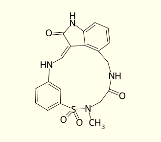 CN1CC(=O)NCc2cccc3c2/C(=C/Nc2cccc(c2)S1(=O)=O)C(=O)N3